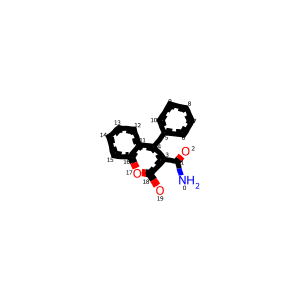 NC(=O)c1c(-c2ccccc2)c2ccccc2oc1=O